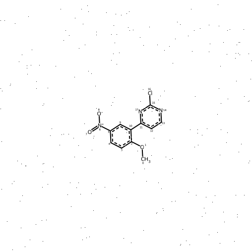 COc1ccc([N+](=O)[O-])cc1-c1ccnc(Cl)n1